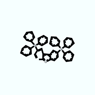 C=C/C(=C\c1c(C)oc2ccc([Si](c3ccccc3)(c3ccccc3)c3ccccc3)cc12)[Si](c1ccccc1)(c1ccccc1)c1ccccc1